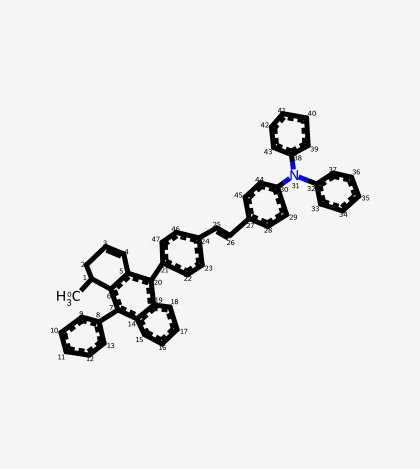 CC1CC=Cc2c1c(-c1ccccc1)c1ccccc1c2-c1ccc(/C=C/c2ccc(N(c3ccccc3)c3ccccc3)cc2)cc1